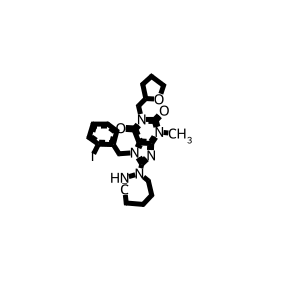 Cn1c(=O)n(CC2CCCO2)c(=O)c2c1nc(N1CCCCCN1)n2Cc1ccccc1I